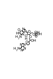 Nc1nc2c(ncn2C2OC(COP(=O)(O)O)C(OCC(O)C3CC[C@H](n4cnc5c(N)ncnc54)O3)C2O)c(=O)[nH]1